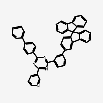 c1ccc(-c2ccc(-c3nc(-c4cccnc4)nc(-c4cccc(-c5ccc6c(c5)-c5ccccc5C65c6ccccc6-c6ccccc65)c4)n3)cc2)cc1